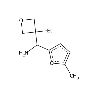 CCC1(C(N)c2ccc(C)o2)COC1